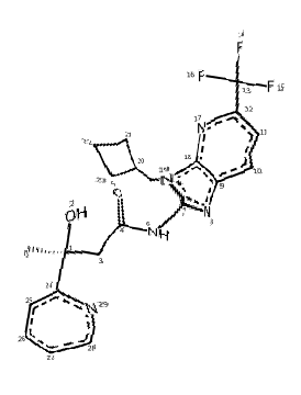 C[C@](O)(CC(=O)Nc1nc2ccc(C(F)(F)F)nc2n1C1CCC1)c1ccccn1